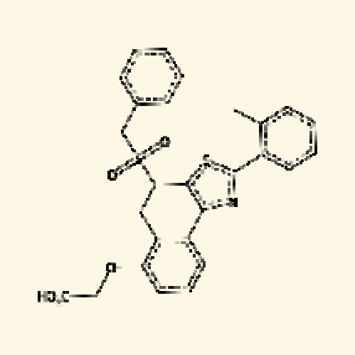 Cc1ccccc1-c1nc2c(s1)C(S(=O)(=O)Cc1ccccc1)Cc1c(OCC(=O)O)cccc1-2